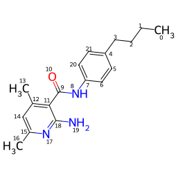 CCCCc1ccc(NC(=O)c2c(C)cc(C)nc2N)cc1